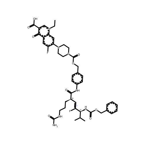 CCn1cc(C(=O)O)c(=O)c2cc(F)c(N3CCN(C(=O)OCc4ccc(NC(=O)[C@@H](/C=C(\F)[C@@H](NC(=O)OCc5ccccc5)C(C)C)CCCNC(N)=O)cc4)CC3)cc21